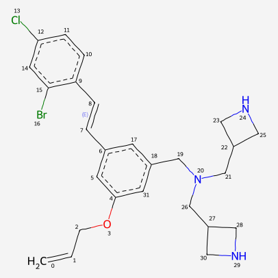 C=CCOc1cc(/C=C/c2ccc(Cl)cc2Br)cc(CN(CC2CNC2)CC2CNC2)c1